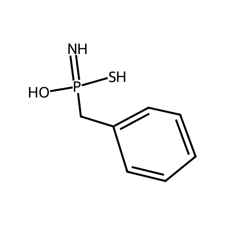 N=P(O)(S)Cc1ccccc1